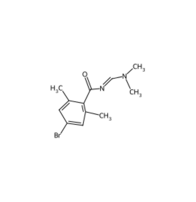 Cc1cc(Br)cc(C)c1C(=O)/N=C/N(C)C